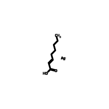 CCCCCC=CC(=O)O.[Ag]